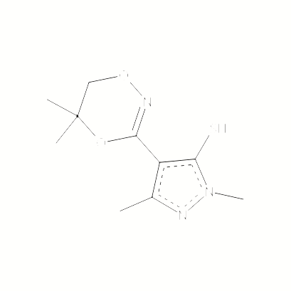 Cc1nn(C)c(S)c1C1=NOCC(C)(C)O1